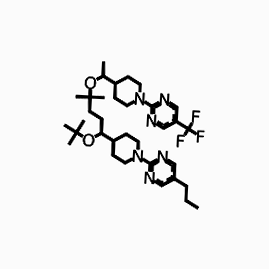 CCCc1cnc(N2CCC(C(CCC(C)(C)OC(C)C3CCN(c4ncc(C(F)(F)F)cn4)CC3)OC(C)(C)C)CC2)nc1